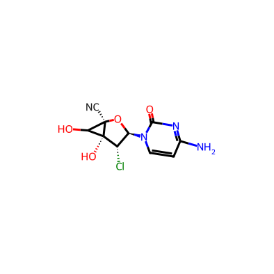 N#C[C@]12O[C@@H](n3ccc(N)nc3=O)[C@H](Cl)[C@@]1(O)C2O